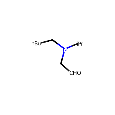 CCCCCN(CC=O)C(C)C